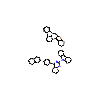 c1ccc2c(c1)-c1cccc3c1c-2cc1sc2ccc(-c4ccc5c(c4)c4ccccc4n5-c4nc(-c5ccc(-c6ccc7ccccc7c6)cc5)c5ccccc5n4)cc2c13